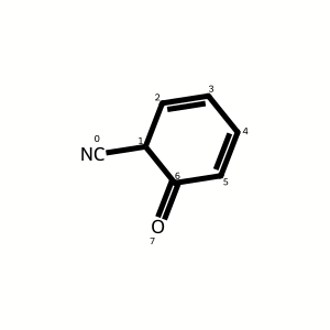 N#CC1C=CC=CC1=O